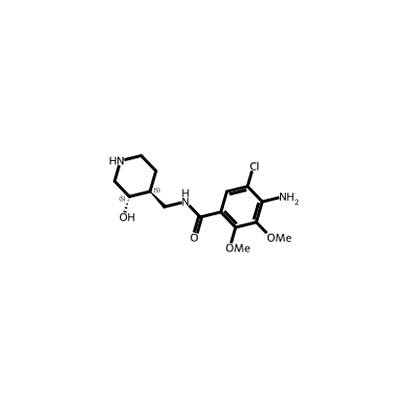 COc1c(C(=O)NC[C@@H]2CCNC[C@H]2O)cc(Cl)c(N)c1OC